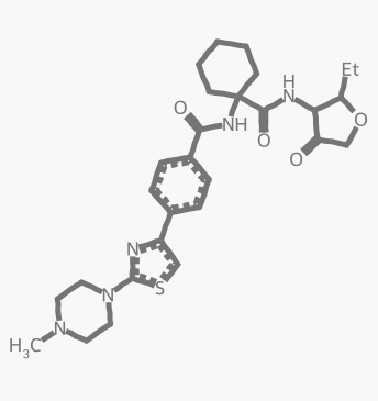 CCC1OCC(=O)C1NC(=O)C1(NC(=O)c2ccc(-c3csc(N4CCN(C)CC4)n3)cc2)CCCCC1